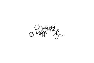 CCCC1CCCCN1C(=O)c1cc(C(=O)N[C@@H](Cc2ccccc2)[C@@H](O)CNC(C)(C)c2ccccc2)nn1CC